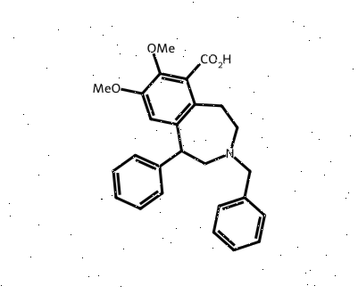 COc1cc2c(c(C(=O)O)c1OC)CCN(Cc1ccccc1)CC2c1ccccc1